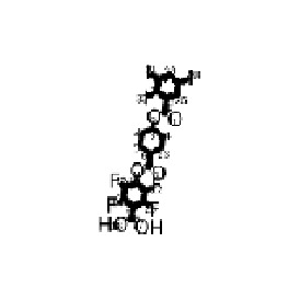 O=C(OC1CCC(C(=O)Oc2c(F)c(F)c(C(O)O)c(F)c2F)CC1)c1cc(I)cc(I)c1I